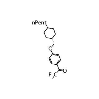 CCCCC[C@H]1CC[C@H](COc2ccc(C(=O)C(F)(F)F)cc2)CC1